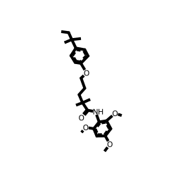 CCC(C)(C)c1ccc(OCCCC(C)(C)C(=O)Nc2c(OC)cc(OC)cc2OC)cc1